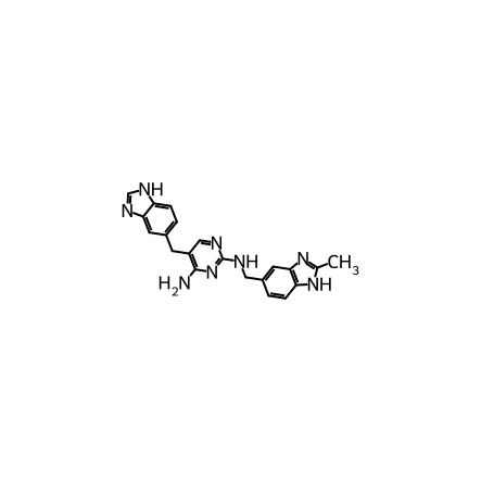 Cc1nc2cc(CNc3ncc(Cc4ccc5[nH]cnc5c4)c(N)n3)ccc2[nH]1